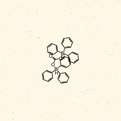 O=C([O][BiH]([c]1ccccc1)([c]1ccccc1)[c]1ccccc1)[O][BiH]([c]1ccccc1)([c]1ccccc1)[c]1ccccc1